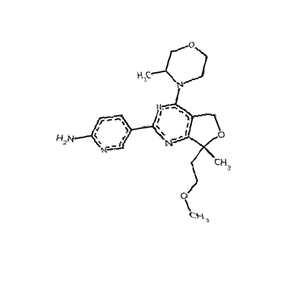 COCCC1(C)OCc2c(N3CCOCC3C)nc(-c3ccc(N)nc3)nc21